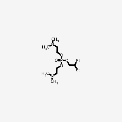 CCC(CC)COP(=O)(OCCN(C)C)OCCN(C)C